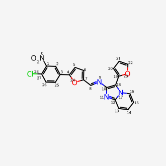 O=[N+]([O-])c1cc(-c2ccc(/C=N/c3nc4ccccn4c3-c3ccco3)o2)ccc1Cl